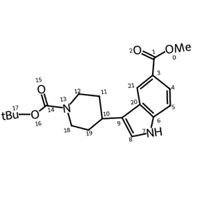 COC(=O)c1ccc2[nH]cc(C3CCN(C(=O)OC(C)(C)C)CC3)c2c1